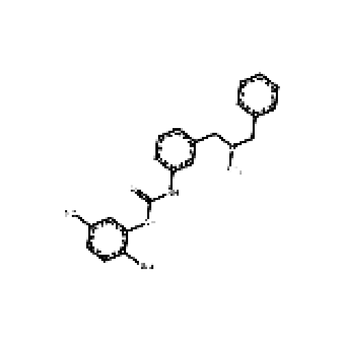 CN(Cc1ccccc1)Cc1cccc(NC(=O)Nc2cc(C#N)ccc2C(C)(C)C)c1